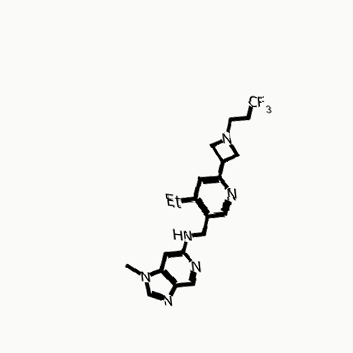 CCc1cc(C2CN(CCC(F)(F)F)C2)ncc1CNc1cc2c(cn1)ncn2C